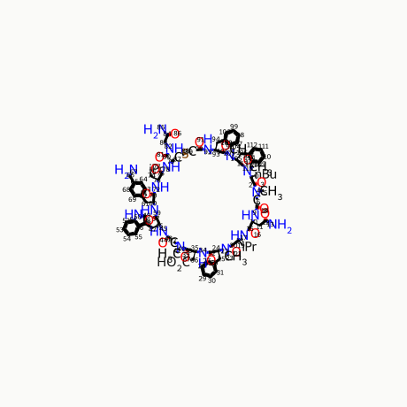 CCCC[C@H]1C(=O)N(C)CC(=O)N[C@@H](CC(N)=O)C(=O)N[C@@H](C(C)C)C(=O)N(C)[C@@H](Cc2ccccc2)C(=O)N[C@@H](CC(=O)O)C(=O)N(C)CC(=O)N[C@@H](Cc2c[nH]c3ccccc23)C(=O)N[C@@H](Cc2ccc(CN)cc2)C(=O)N[C@@H](CC(C)C)C(=O)N[C@H](C(=O)NCC(N)=O)CSCC(=O)N[C@@H](Cc2ccccc2)C(=O)N(C)[C@@H](Cc2ccccc2)C(=O)N1C